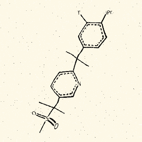 CC(C)c1ccc(C(C)(C)c2ccc(C(C)(C)S(C)(=O)=O)cn2)cc1F